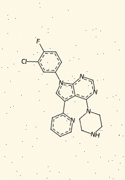 Fc1ccc(-n2cc(-c3ccccn3)c3c(N4CCNCC4)ncnc32)cc1Cl